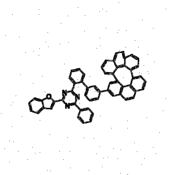 c1ccc(-c2nc(-c3cc4ccccc4o3)nc(-c3ccccc3-c3cccc(-c4cc5ccc6cccc7c8cccc9ccc%10cccc(c(c4)c5c67)c%10c98)c3)n2)cc1